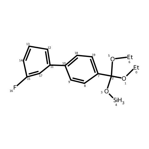 CCOC(O[SiH3])(OCC)c1ccc(-c2cccc(F)c2)cc1